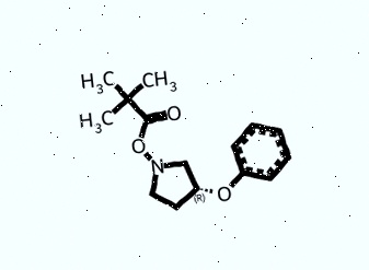 CC(C)(C)C(=O)ON1CC[C@@H](Oc2ccccc2)C1